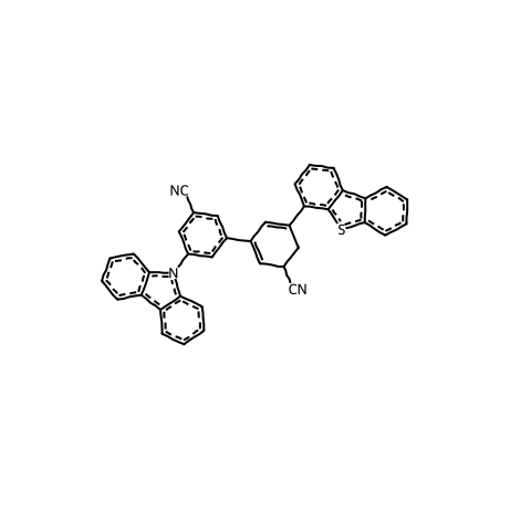 N#Cc1cc(C2=CC(C#N)CC(c3cccc4c3sc3ccccc34)=C2)cc(-n2c3ccccc3c3ccccc32)c1